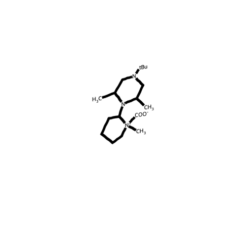 CC1CN(C(C)(C)C)CC(C)N1C1CCCC[N+]1(C)C(=O)[O-]